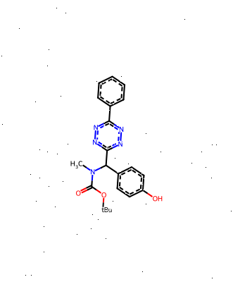 CN(C(=O)OC(C)(C)C)C(c1ccc(O)cc1)c1nnc(-c2ccccc2)nn1